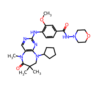 COc1cc(C(=O)NN2CCOCC2)ccc1Nc1ncc2c(n1)N(C1CCCC1)CC(C)(C)C(=O)N2C